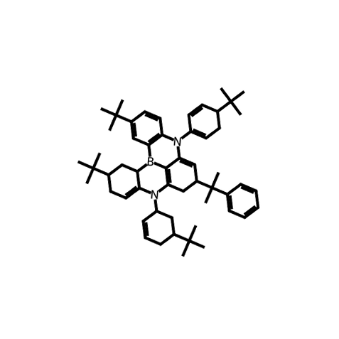 CC(C)(C)c1ccc2c(c1)B1C3=C(CC(C(C)(C)c4ccccc4)C=C3N2C2=CCC(C(C)(C)C)C=C2)N(C2C=CCC(C(C)(C)C)C2)C2=CCC(C(C)(C)C)CC12